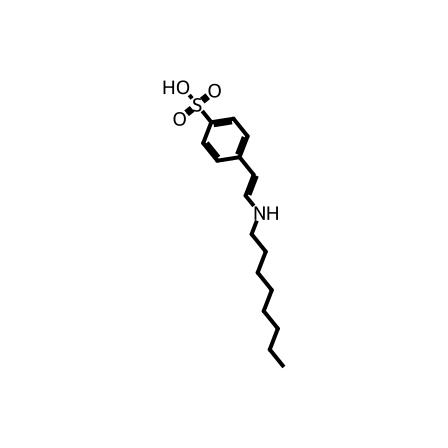 CCCCCCCCNC=Cc1ccc(S(=O)(=O)O)cc1